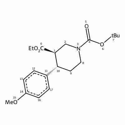 CCOC(=O)[C@H]1CN(C(=O)OC(C)(C)C)CC[C@@H]1c1ccc(OC)cc1